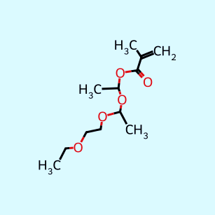 C=C(C)C(=O)OC(C)OC(C)OCCOCC